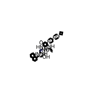 C=CC(=O)Nc1cc(N/C(=C/C(=N)N[C@H](CCO)c2cccc3ccccc23)NN)c(OC)cc1N1CCC(N2CCN(C3CCC3)CC2)CC1